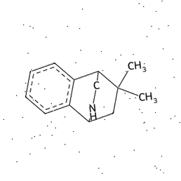 CC1(C)CC2NCC1c1ccccc12